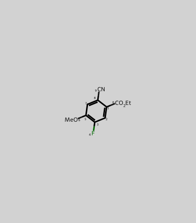 CCOC(=O)c1cc(F)c(OC)cc1C#N